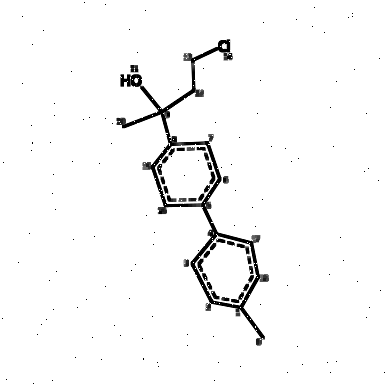 Cc1ccc(-c2ccc(C(C)(O)CCCl)cc2)cc1